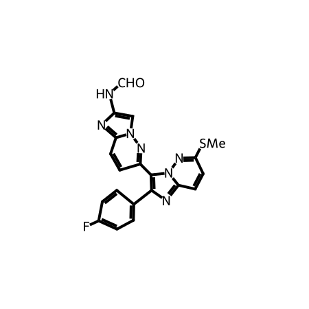 CSc1ccc2nc(-c3ccc(F)cc3)c(-c3ccc4nc(NC=O)cn4n3)n2n1